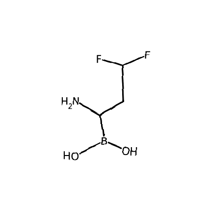 NC(CC(F)F)B(O)O